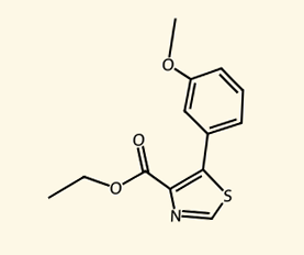 CCOC(=O)c1ncsc1-c1cccc(OC)c1